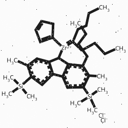 CCCC[C](CCCC)=[Zr+2]([C]1=CC=CC1)[CH]1c2cc(C)c([Si](C)(C)C)cc2-c2cc([Si](C)(C)C)c(C)c(CCCC)c21.[Cl-].[Cl-]